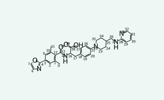 Cc1cc(-c2ncco2)cc(C)c1C(=O)NC(Cc1ccc(N2CCC(CNc3ccccn3)CC2)cc1)C(=O)O